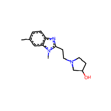 Cc1ccc2nc(CCN3CCC(O)C3)n(C)c2c1